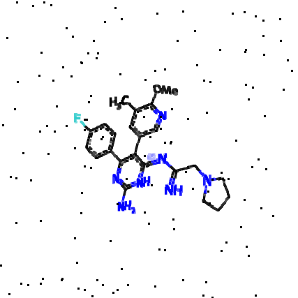 COc1ncc(-c2c(-c3ccc(F)cc3)nc(N)[nH]/c2=N\C(=N)CN2CCCC2)cc1C